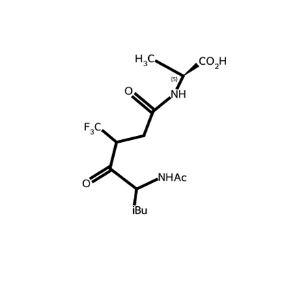 CCC(C)C(NC(C)=O)C(=O)C(CC(=O)N[C@@H](C)C(=O)O)C(F)(F)F